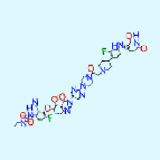 CCN(C)S(=O)(=O)Nc1ccc(F)c(Oc2ccc3ncn(-c4cnc(N5CCN(C(=O)CN6CCC(c7ccc(N[C@H]8CCC(=O)NC8=O)cc7F)CC6)CC5)nc4)c(=O)c3c2OC)c1C#N